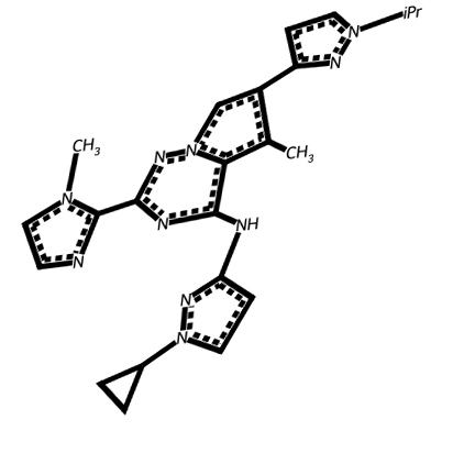 Cc1c(-c2ccn(C(C)C)n2)cn2nc(-c3nccn3C)nc(Nc3ccn(C4CC4)n3)c12